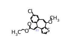 CCOC(=O)/C=C1\c2ccc(Cl)cc2C=C(OC)c2sccc21